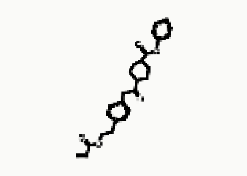 C=CC(=O)OCCc1ccc(CC(=O)C2CCC(C(=O)Oc3ccccc3)CC2)cc1